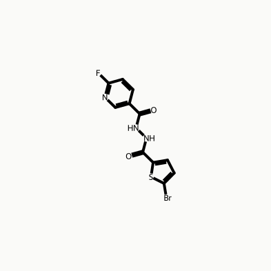 O=C(NNC(=O)c1ccc(Br)s1)c1ccc(F)nc1